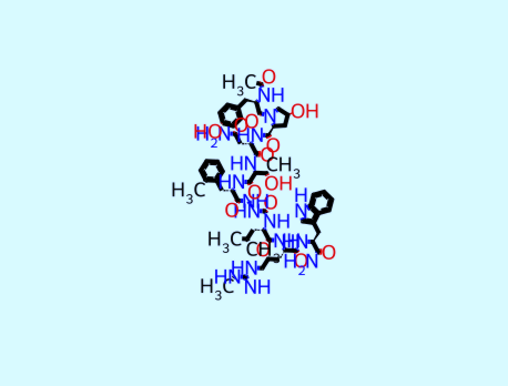 CNC(=N)NCCC[C@H](NC(=O)[C@H](CC(C)C)NC(=O)NNC(=O)[C@H](Cc1ccccc1C)NC(=O)[C@@H](NC(=O)[C@H](CC(N)=O)NC(=O)[C@@H]1C[C@@H](O)CN1C(=O)[C@@H](Cc1ccc(O)cc1)NC(C)=O)[C@@H](C)O)C(=O)N[C@@H](Cc1c[nH]c2ccccc12)C(N)=O